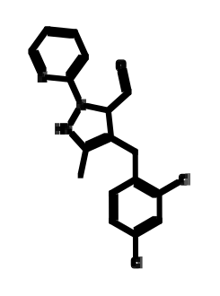 CC1=C(Cc2ccc(Cl)cc2Cl)C(C=O)N(c2ccccn2)N1